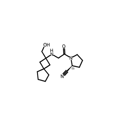 N#C[C@@H]1CCCN1C(=O)CNC1(CO)CC2(CCCC2)C1